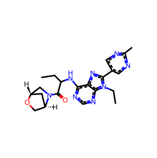 CCC(Nc1ncnc2c1nc(-c1cnc(C)nc1)n2CC)C(=O)N1C[C@@H]2C[C@@H]1CO2